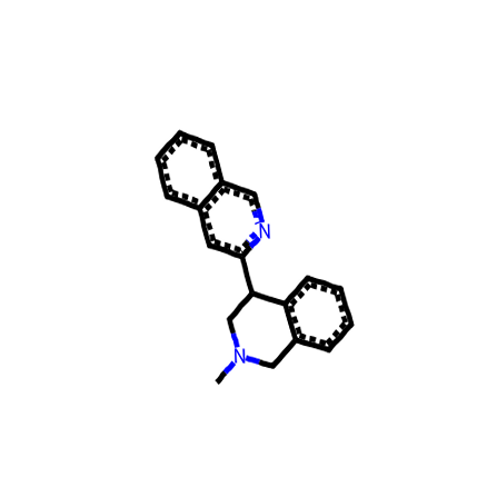 CN1Cc2ccccc2C(c2cc3ccccc3cn2)C1